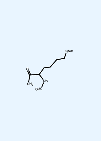 CNCCCCC(NC=O)C(N)=O